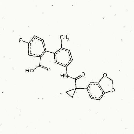 Cc1ccc(NC(=O)C2(c3ccc4c(c3)OCO4)CC2)cc1-c1ccc(F)cc1C(=O)O